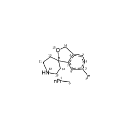 CCCC.Fc1ccc2c(c1)C1(CCNCC1)OC2